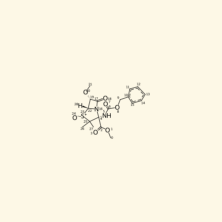 COC(=O)[C@]1(NC(=O)OCc2ccccc2)N2C(=O)[C@@H](OC)[C@H]2[S+]([O-])C1(C)C